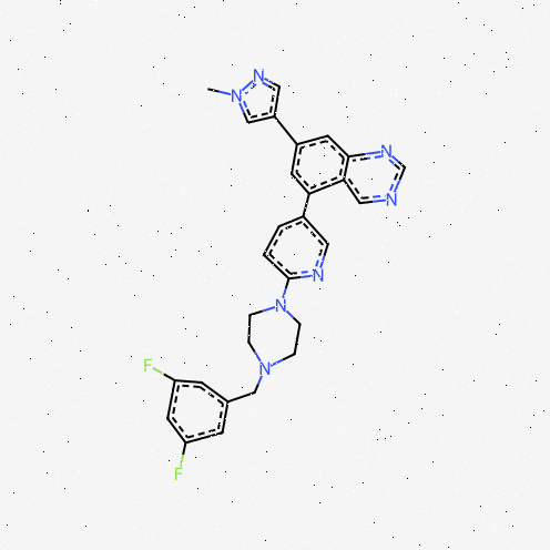 Cn1cc(-c2cc(-c3ccc(N4CCN(Cc5cc(F)cc(F)c5)CC4)nc3)c3cncnc3c2)cn1